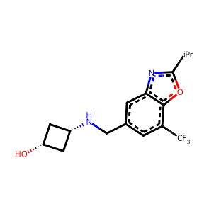 CC(C)c1nc2cc(CN[C@H]3C[C@@H](O)C3)cc(C(F)(F)F)c2o1